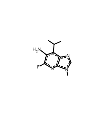 CC(C)c1c(N)c(F)nc2c1ncn2C